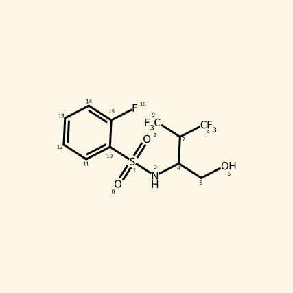 O=S(=O)(NC(CO)C(C(F)(F)F)C(F)(F)F)c1ccccc1F